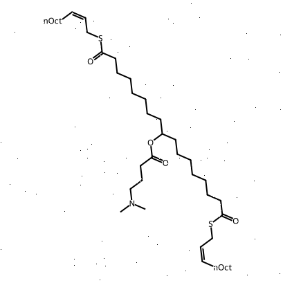 CCCCCCCC/C=C\CSC(=O)CCCCCCCC(CCCCCCCC(=O)SC/C=C\CCCCCCCC)OC(=O)CCCN(C)C